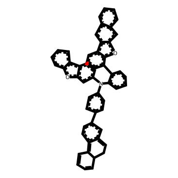 C1=CC2=c3ccc(-c4ccc(N(c5ccc6c(c5)oc5ccccc56)c5ccccc5-c5cccc6c5oc5cc7ccccc7cc56)cc4)cc3=CCC2C=C1